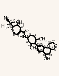 CC1CCC(NC(=O)C2=CC=NC(C(C)(C)C#N)C(C)C2)CC(C)C1C1=CC2C(C=C1)C(O)CC1COCCN12